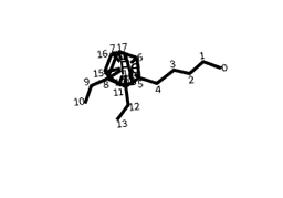 CCCCC[C]12[CH]3[CH]4[C]5(CC)[C]1(CC)[Fe]43521678[CH]2[CH]1[CH]6[CH]7[CH]28